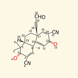 CC1(C)C(=O)C(C#N)=C[C@]2(C)C3=CC(=O)C(C#N)=C[C@@]3(C#CC=O)CC[C@@H]12